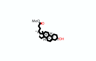 COC(=O)CC[C@@H](C)[C@H]1CC[C@H]2[C@@H]3CC=C4C[C@@H](O)CC[C@]4(C)[C@H]3CCC12C